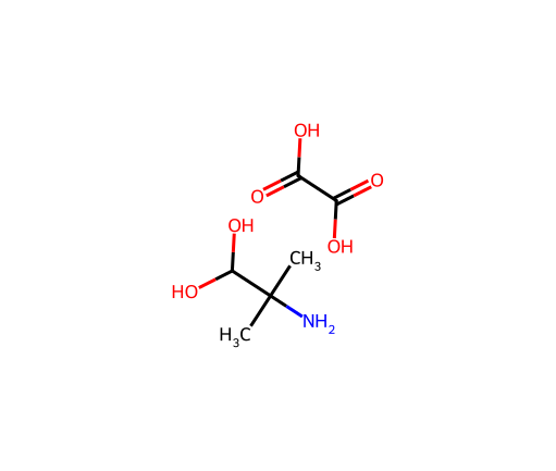 CC(C)(N)C(O)O.O=C(O)C(=O)O